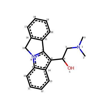 CN(C)CC(O)c1c2n(c3ccccc13)Cc1ccccc1-2